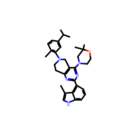 Cc1ccc(C(C)C)cc1N1CCc2nc(-c3cccc4[nH]cc(C)c34)nc(N3CCOC(C)(C)C3)c2C1